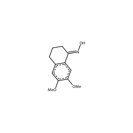 COc1cc2c(cc1OC)/C(=N/O)CCC2